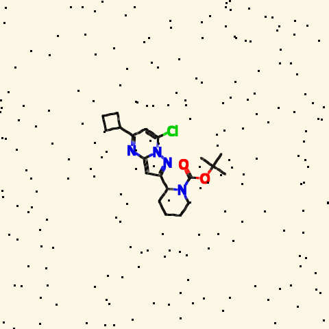 CC(C)(C)OC(=O)N1CCCCC1c1cc2nc(C3CCC3)cc(Cl)n2n1